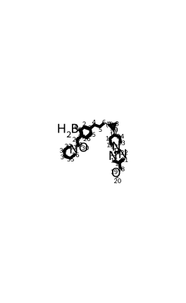 Bc1cc(CCC[C@@H]2C[C@@H]2C2CCN(c3ncc(COC)cn3)CC2)ccc1CC(=O)N1CCCCC1